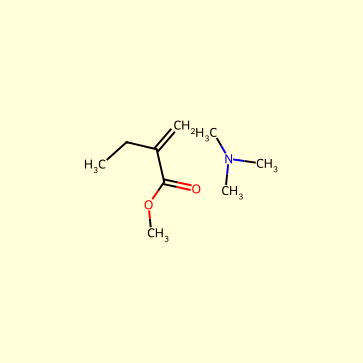 C=C(CC)C(=O)OC.CN(C)C